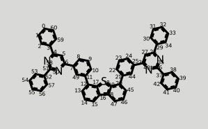 c1ccc(-c2cc(-c3cccc(-c4cccc5c4sc4c(-c6cccc(-c7cc(-c8ccccc8)nc(-c8ccccc8)n7)c6)cccc45)c3)nc(-c3ccccc3)n2)cc1